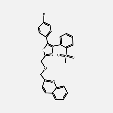 CS(=O)(=O)c1ccccc1-c1nc(COCc2ccc3ccccc3n2)sc1-c1ccc(F)cc1